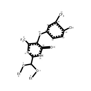 CCOC(OCC)c1nc(C(F)(F)F)c(Oc2ccc(Cl)c(C(F)(F)F)c2)c(=O)[nH]1